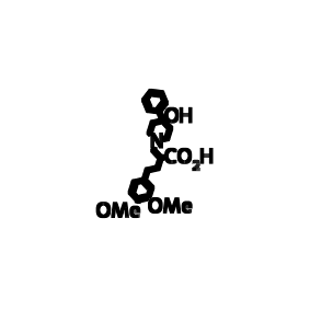 COc1ccc(CCC(CN2CCC(O)(c3ccccc3)CC2)C(=O)O)cc1OC